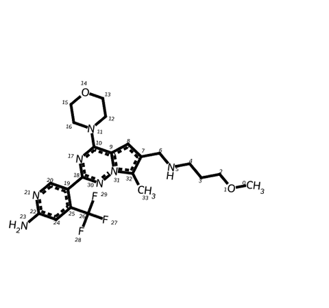 COCCCNCc1cc2c(N3CCOCC3)nc(-c3cnc(N)cc3C(F)(F)F)nn2c1C